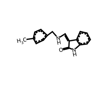 Cc1ccc(CN/C=C2\C(=O)Nc3ccccc32)cc1